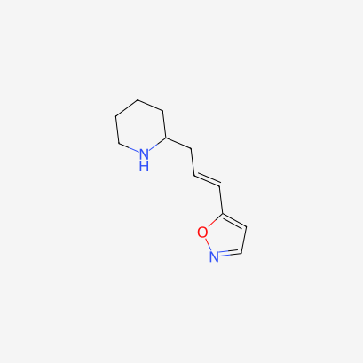 C(=Cc1ccno1)CC1CCCCN1